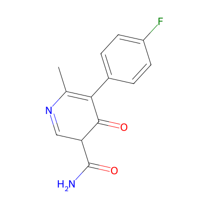 CC1=C(c2ccc(F)cc2)C(=O)C(C(N)=O)C=N1